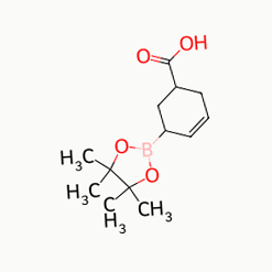 CC1(C)OB(C2C=CCC(C(=O)O)C2)OC1(C)C